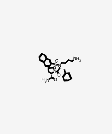 NCCCCN([C@H](Cc1ccccc1)C(=O)N1CCC[C@H]1C(N)=O)S(=O)(=O)c1ccc2ccccc2c1